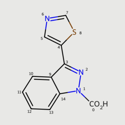 O=C(O)n1nc(-c2cncs2)c2ccccc21